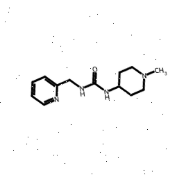 CN1CCC(NC(=O)NCc2ccccn2)CC1